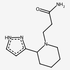 NC(=O)CCN1CCCCC1c1cc[nH]n1